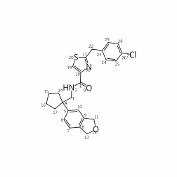 O=C(NCC1(c2ccc3c(c2)COC3)CCCC1)c1csc(Cc2ccc(Cl)cc2)n1